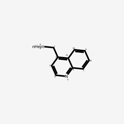 CCCCCCCCc1c[c]nc2ccccc12